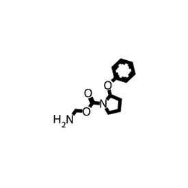 NCOC(=O)N1CCCC1Oc1ccccc1